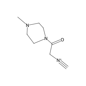 C#[N+]CC(=O)N1CCN(C)CC1